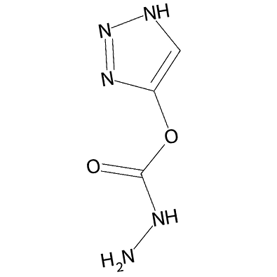 NNC(=O)Oc1c[nH]nn1